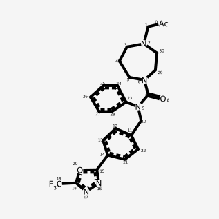 CC(=O)CN1CCCN(C(=O)N(Cc2ccc(-c3nnc(C(F)(F)F)o3)cc2)c2ccccc2)CC1